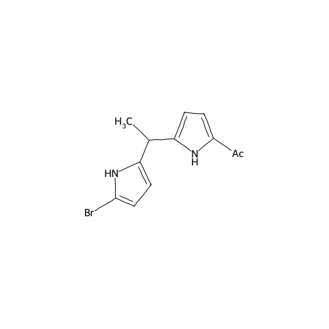 CC(=O)c1ccc(C(C)c2ccc(Br)[nH]2)[nH]1